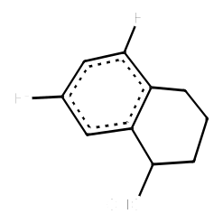 CCc1cc(F)c2c(c1)C(C=O)CCC2